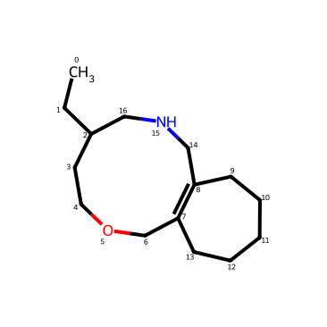 CCC1CCOCC2=C(CCCCC2)CNC1